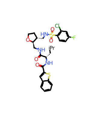 CC(C)C[C@H](NC(=O)c1cc2ccccc2s1)C(=O)NC[C@H]1OCC[C@@H]1CNS(=O)(=O)c1ccc(F)cc1Cl